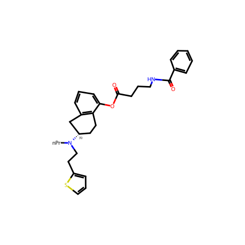 CCCN(CCc1cccs1)[C@H]1CCc2c(cccc2OC(=O)CCCNC(=O)c2ccccc2)C1